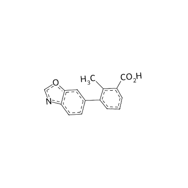 Cc1c(C(=O)O)cccc1-c1ccc2ncoc2c1